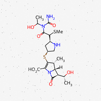 CSC(C(=O)N(C(N)=O)C(C)O)[C@@H]1C[C@H](SC2=C(C(=O)O)N3C(=O)[C@H]([C@@H](C)O)[C@H]3[C@H]2C)CN1